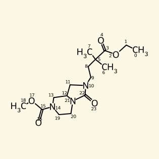 CCOC(=O)C(C)(C)CCN1CC2CN(C(=O)OC)CCN2C1=O